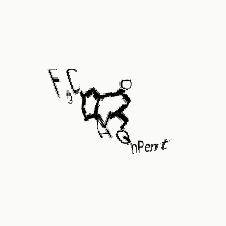 CCCCCOCc1cc(=O)c2cc(C(F)(F)F)ccc2[nH]1